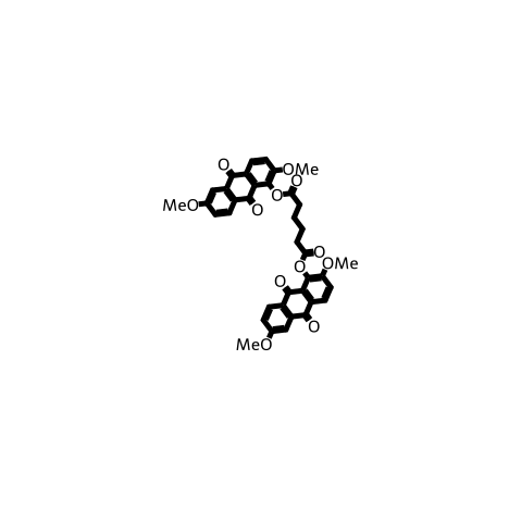 COc1ccc2c(c1)C(=O)c1ccc(OC)c(OC(=O)CCCCC(=O)Oc3c(OC)ccc4c3C(=O)c3ccc(OC)cc3C4=O)c1C2=O